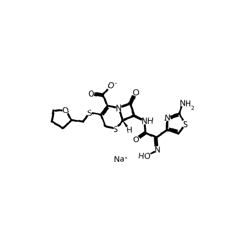 Nc1nc(/C(=N/O)C(=O)NC2C(=O)N3C(C(=O)[O-])=C(SCC4CCCO4)CS[C@@H]23)cs1.[Na+]